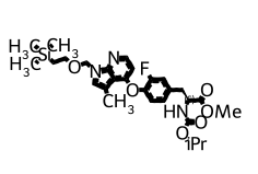 COC(=O)[C@H](Cc1ccc(Oc2ccnc3c2c(C)cn3COCC[Si](C)(C)C)c(F)c1)NC(=O)OC(C)C